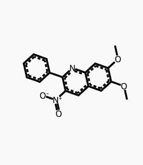 COc1cc2cc([N+](=O)[O-])c(-c3ccccc3)nc2cc1OC